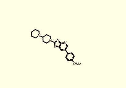 COc1ccc(-c2cnc3nc(N4CCC(N5CCCCC5)CC4)sc3c2)cc1